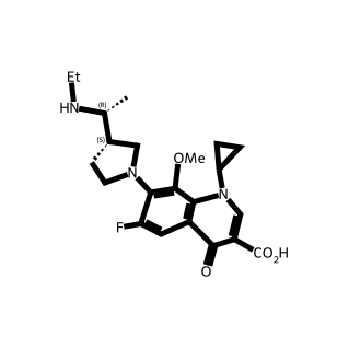 CCN[C@H](C)[C@H]1CCN(c2c(F)cc3c(=O)c(C(=O)O)cn(C4CC4)c3c2OC)C1